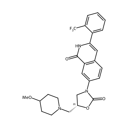 COC1CCN(C[C@@H]2CN(c3ccc4cc(-c5ccccc5C(F)(F)F)[nH]c(=O)c4c3)C(=O)O2)CC1